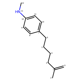 C=C(C)CCCCc1ccc(NC)cc1